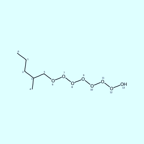 CCCC(C)COOOOOOOO